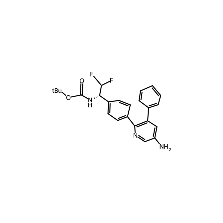 CC(C)(C)OC(=O)N[C@@H](c1ccc(-c2ncc(N)cc2-c2ccccc2)cc1)C(F)F